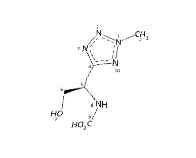 Cn1nnc([C@H](CO)NC(=O)O)n1